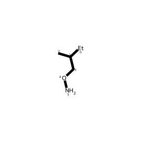 [CH2]CC(C)CON